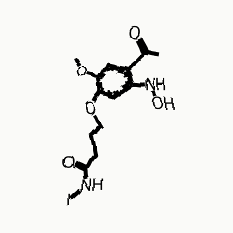 COc1cc(C(C)=O)c(NO)cc1OCCCC(=O)NI